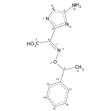 CC(O/N=C(\C(=O)O)c1nsc(N)n1)c1ccccc1